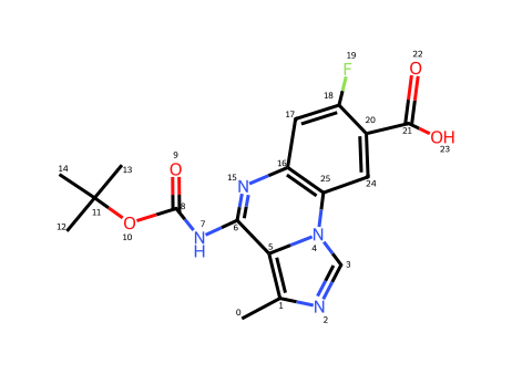 Cc1ncn2c1c(NC(=O)OC(C)(C)C)nc1cc(F)c(C(=O)O)cc12